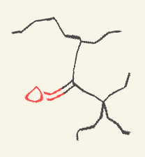 CCC(C)C(=O)C(C)(C)C